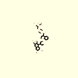 COc1cc2cc(CO)c(CO)c(-c3ccnc(-n4c(=O)cc(C(=O)N5CCN(CC(O[SiH](C)C)C(C)(C)C)CC5)c5ccccc54)c3)c2cc1OC